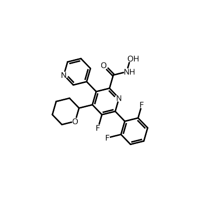 O=C(NO)c1nc(-c2c(F)cccc2F)c(F)c(C2CCCCO2)c1-c1cccnc1